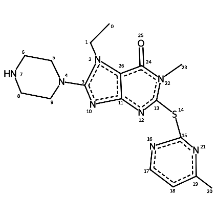 CCn1c(N2CCNCC2)nc2nc(Sc3nccc(C)n3)n(C)c(=O)c21